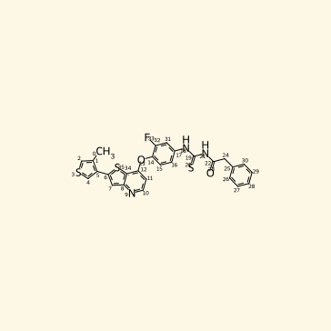 Cc1cscc1-c1cc2nccc(Oc3ccc(NC(=S)NC(=O)Cc4ccccc4)cc3F)c2s1